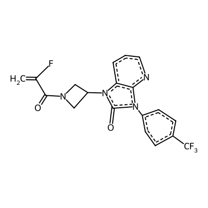 C=C(F)C(=O)N1CC(n2c(=O)n(-c3ccc(C(F)(F)F)cc3)c3ncccc32)C1